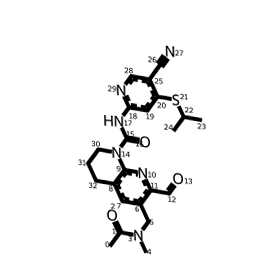 CC(=O)N(C)Cc1cc2c(nc1C=O)N(C(=O)Nc1cc(SC(C)C)c(C#N)cn1)CCC2